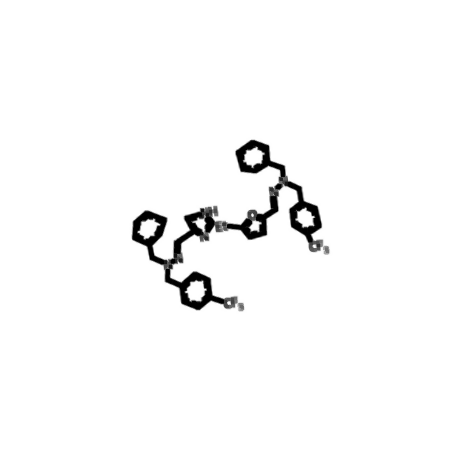 CCc1ccc(C=NN(Cc2ccccc2)Cc2ccc(C(F)(F)F)cc2)o1.FC(F)(F)c1ccc(CN(Cc2ccccc2)N=Cc2c[nH]cn2)cc1